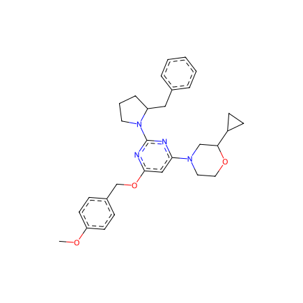 COc1ccc(COc2cc(N3CCOC(C4CC4)C3)nc(N3CCCC3Cc3ccccc3)n2)cc1